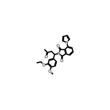 CCOc1cc(C(CC(C)=O)N2C(=O)c3cccc(-n4cccc4)c3C2=O)ccc1OC